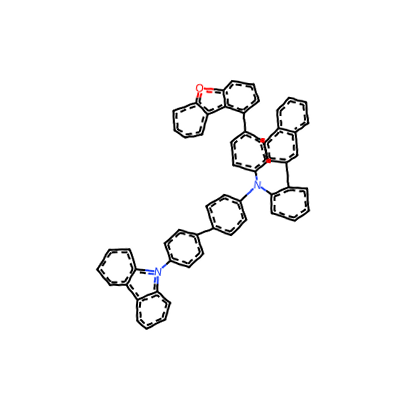 c1ccc(N(c2ccc(-c3ccc(-n4c5ccccc5c5ccccc54)cc3)cc2)c2ccc(-c3cccc4oc5ccccc5c34)cc2)c(-c2ccc3ccccc3c2)c1